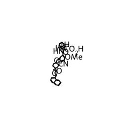 COc1cc(C#N)c(OC2CCC(C)(C(=O)OCc3cccc4ccccc34)CC2)cc1C(=O)N[C@H]1[C@@H](C(=O)O)[C@H]2C=C[C@@H]1C2